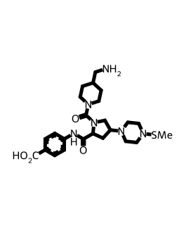 CSN1CCN(C2CC(C(=O)Nc3ccc(C(=O)O)cc3)N(C(=O)N3CCC(CN)CC3)C2)CC1